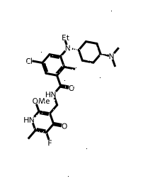 CCN(c1cc(Cl)cc(C(=O)NCc2c(OC)[nH]c(C)c(F)c2=O)c1C)[C@H]1CC[C@H](N(C)C)CC1